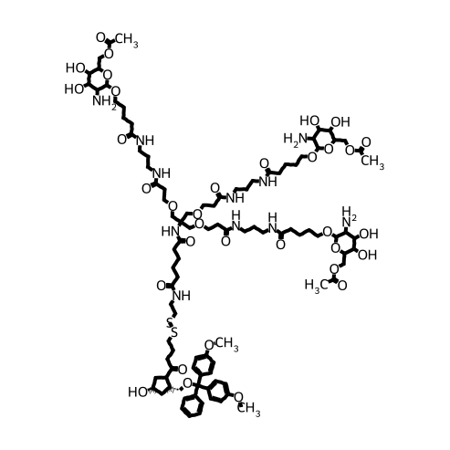 COc1ccc(C(OC[C@@H]2C[C@@H](O)CC2C(=O)CCCSSCCNC(=O)CCCCC(=O)NC(COCCC(=O)NCCCNC(=O)CCCCOC2OC(COC(C)=O)C(O)C(O)C2N)(COCCC(=O)NCCCNC(=O)CCCCOC2OC(COC(C)=O)C(O)C(O)C2N)COCCC(=O)NCCCNC(=O)CCCCOC2OC(COC(C)=O)C(O)C(O)C2N)(c2ccccc2)c2ccc(OC)cc2)cc1